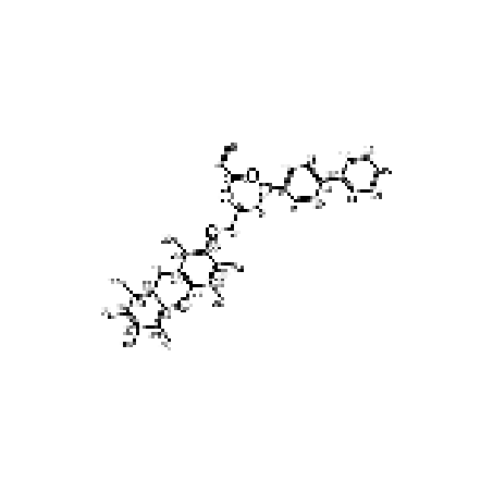 C=CC(=O)OC(COc1ccc(-c2ccccc2)cc1)COc1c(C)c(C)c2c(c1C)Cc1c(C)c(C)c(C)c(C)c1O2